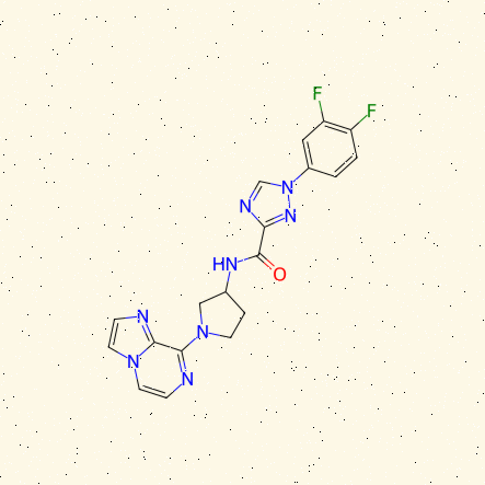 O=C(NC1CCN(c2nccn3ccnc23)C1)c1ncn(-c2ccc(F)c(F)c2)n1